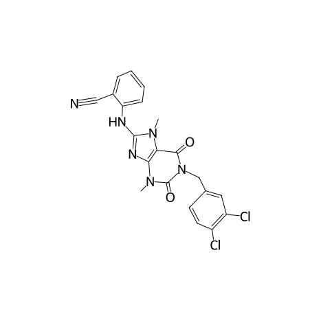 Cn1c(Nc2ccccc2C#N)nc2c1c(=O)n(Cc1ccc(Cl)c(Cl)c1)c(=O)n2C